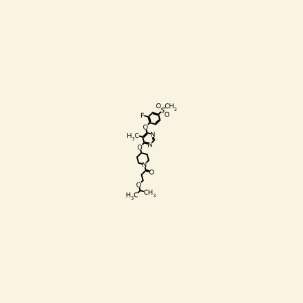 Cc1c(Oc2ccc(S(C)(=O)=O)cc2F)ncnc1OC1CCN(C(=O)CCOC(C)C)CC1